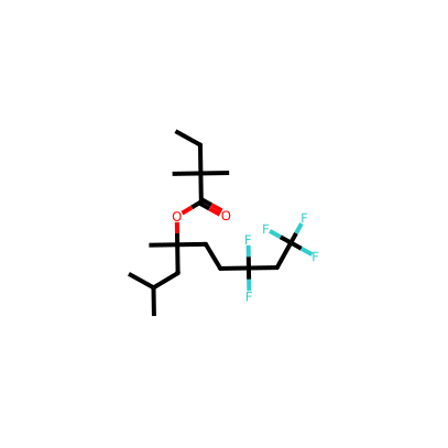 CCC(C)(C)C(=O)OC(C)(CCC(F)(F)CC(F)(F)F)CC(C)C